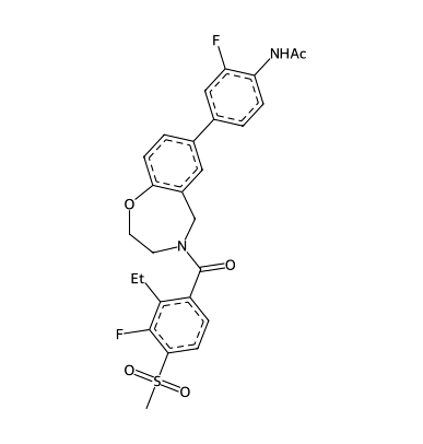 CCc1c(C(=O)N2CCOc3ccc(-c4ccc(NC(C)=O)c(F)c4)cc3C2)ccc(S(C)(=O)=O)c1F